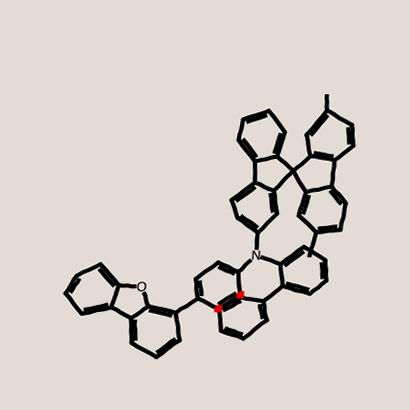 Cc1ccc2c(c1)C1(c3ccccc3-c3ccc(N(c4ccc(-c5cccc6c5oc5ccccc56)cc4)c4ccccc4-c4ccccc4)cc31)c1cc(C)ccc1-2